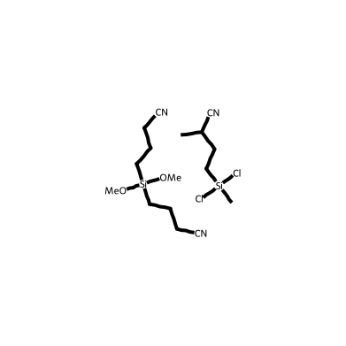 CC(C#N)CC[Si](C)(Cl)Cl.CO[Si](CCCC#N)(CCCC#N)OC